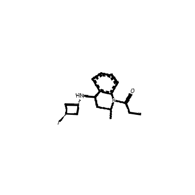 CCC(=O)N1c2ccccc2C(N[C@H]2C[C@H](I)C2)CC1C